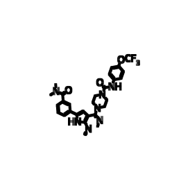 C=Nc1[nH]c(-c2cccc(C(=O)N(C)C)c2)cc1/C(=N\C)N1CCN(C(=O)Nc2ccc(OC(F)(F)F)cc2)CC1